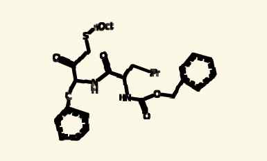 CCCCCCCCSCC(=O)C(Cc1ccccc1)NC(=O)C(CC(C)C)NC(=O)OCc1ccccc1